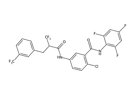 O=C(Nc1c(F)cc(F)cc1F)c1cc(NC(=O)C(Cc2cccc(C(F)(F)F)c2)C(F)(F)F)ccc1Cl